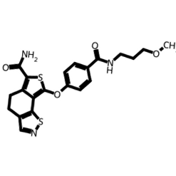 COCCCNC(=O)c1ccc(Oc2sc(C(N)=O)c3c2-c2sncc2CC3)cc1